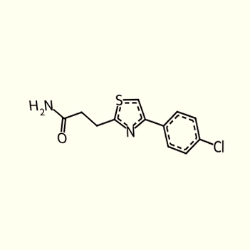 NC(=O)CCc1nc(-c2ccc(Cl)cc2)cs1